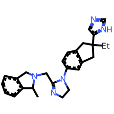 CCC1(c2cnc[nH]2)Cc2ccc(N3CCN=C3CN3Cc4ccccc4C3C)cc2C1